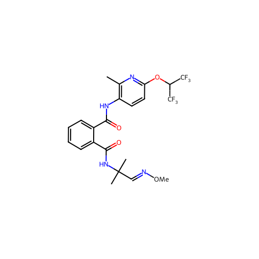 CON=CC(C)(C)NC(=O)c1ccccc1C(=O)Nc1ccc(OC(C(F)(F)F)C(F)(F)F)nc1C